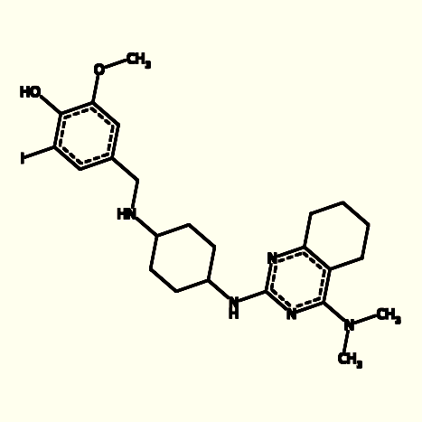 COc1cc(CNC2CCC(Nc3nc4c(c(N(C)C)n3)CCCC4)CC2)cc(I)c1O